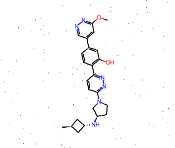 COc1cc(-c2ccc(-c3ccc(N4CC[C@@H](N[C@H]5C[C@H](C)C5)C4)nn3)c(O)c2)cnn1